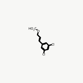 O=C(O)OCC=Cc1cc(Cl)cc(Cl)c1